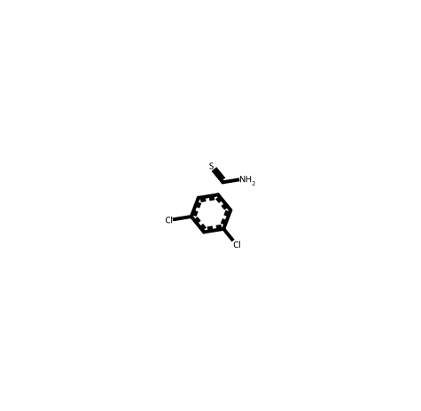 Clc1cccc(Cl)c1.NC=S